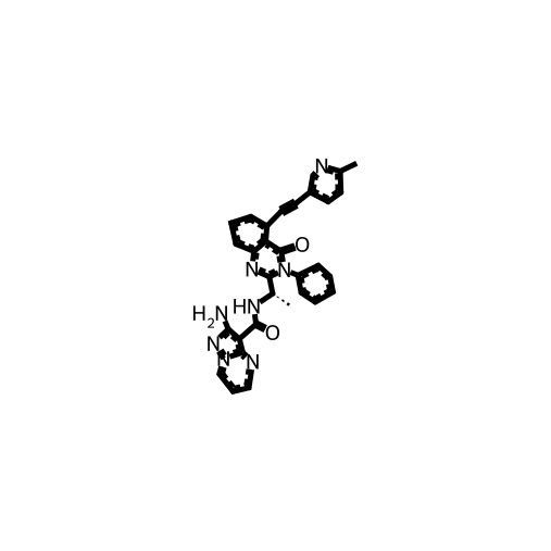 Cc1ccc(C#Cc2cccc3nc([C@H](C)NC(=O)c4c(N)nn5cccnc45)n(-c4ccccc4)c(=O)c23)cn1